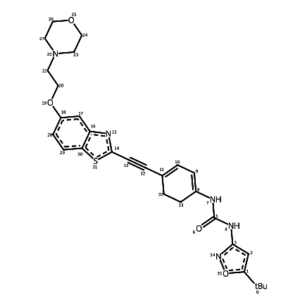 CC(C)(C)c1cc(NC(=O)NC2=CC=C(C#Cc3nc4cc(OCCN5CCOCC5)ccc4s3)CC2)no1